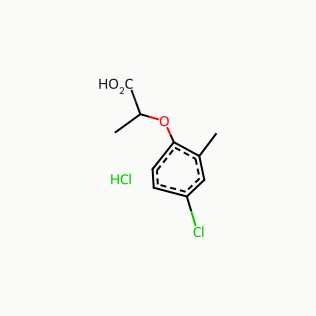 Cc1cc(Cl)ccc1OC(C)C(=O)O.Cl